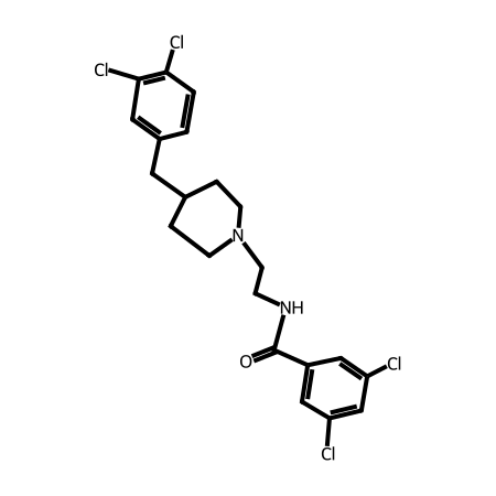 O=C(NCCN1CCC(Cc2ccc(Cl)c(Cl)c2)CC1)c1cc(Cl)cc(Cl)c1